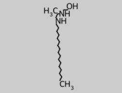 CCCCCCCCCCCCCCCCCCNCC(C)NCCO